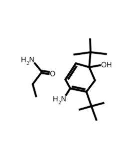 CC(C)(C)C1=C(N)C=CC(O)(C(C)(C)C)C1.CCC(N)=O